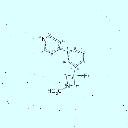 O=C(O)N1CC(F)(c2cccc(-c3ccncc3)c2)C1